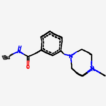 CN1CCN(c2cccc(C(=O)NC(C)(C)C)c2)CC1